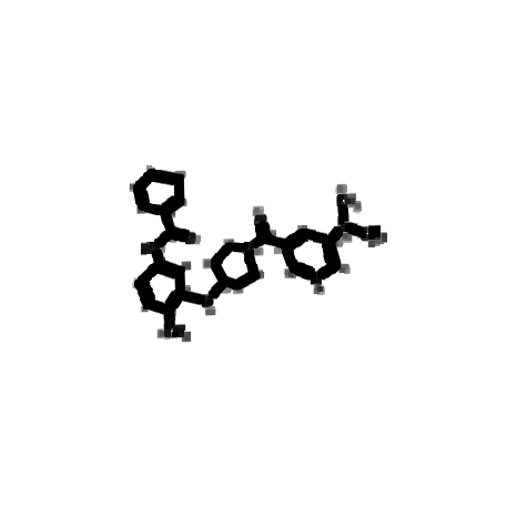 Cc1ccc(NC(=O)c2ccccc2)cc1OC1CCN(C(=O)c2cncc(N(C)C)c2)CC1